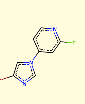 Fc1cc(-n2cnc(Br)c2)ccn1